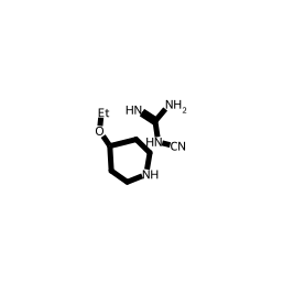 CCOC1CCNCC1.N#CNC(=N)N